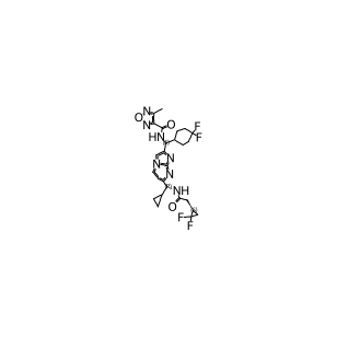 Cc1nonc1C(=O)N[C@H](c1cn2ccc([C@H](NC(=O)C[C@H]3CC3(F)F)C3CC3)nc2n1)C1CCC(F)(F)CC1